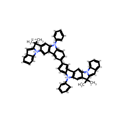 CC1(C)c2cc3c(cc2-n2c1cc1ccccc12)c1cc(-c2ccc4c(c2)c2cc5c(cc2n4-c2ccccc2)C(C)(C)c2cc4ccccc4n2-5)ccc1n3-c1ccccc1